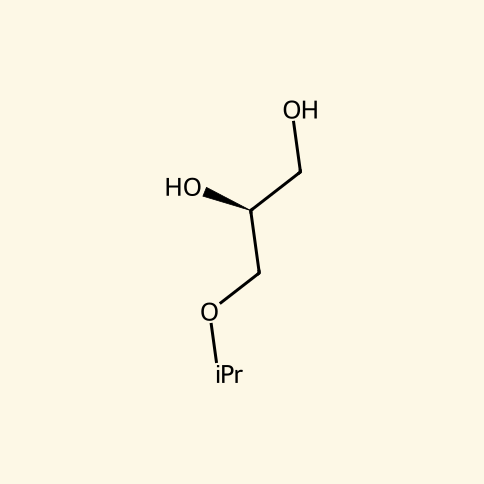 CC(C)OC[C@@H](O)CO